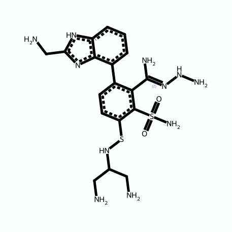 NCc1nc2c(-c3ccc(SNC(CN)CN)c(S(N)(=O)=O)c3/C(N)=N/NN)cccc2[nH]1